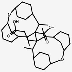 CC1C2CCC(CC2)OC2CCCC(C2)C(C)C1(CCC(=O)O)C1(C(=O)O)C(C)C2CCC(CC2)OC2CCCC(C2)C1C